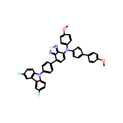 COc1ccc(-c2ccc(N(c3ccc(OC)cc3)c3ccc(-c4ccc(-n5c6ccc(F)cc6c6cc(F)ccc65)cc4)c4nsnc34)cc2)cc1